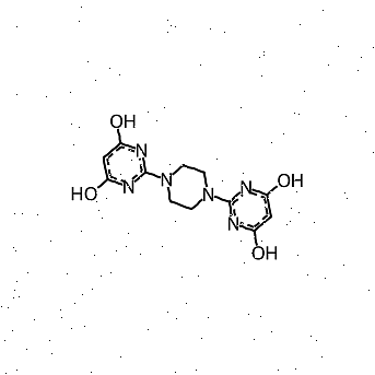 Oc1cc(O)nc(N2CCN(c3nc(O)cc(O)n3)CC2)n1